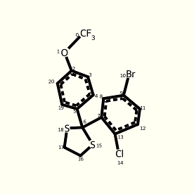 FC(F)(F)Oc1ccc(C2(c3cc(Br)ccc3Cl)SCCS2)cc1